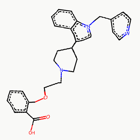 O=C(O)c1ccccc1OCCN1CCC(c2cn(Cc3ccncc3)c3ccccc23)CC1